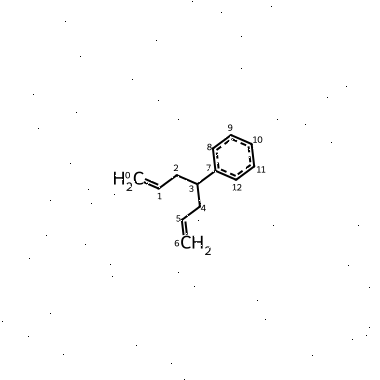 C=CCC(CC=C)c1ccccc1